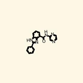 O=C(Nc1cnccn1)c1cccc2[nH]c(-c3ccccc3)nc12